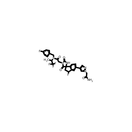 CC(N(Cc1ccc(F)cc1)C(=O)CN1C(=O)NC2(CC(F)c3cc(-c4cnn(CC(N)=O)c4)ccc32)C1=O)C(F)(F)F